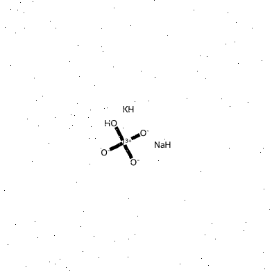 [KH].[NaH].[O-][I+3]([O-])([O-])O